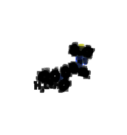 CC1(C)C2=C(C=CC(n3c4ccccc4c4cc(-c5ccc6c(c5)c5ccccc5n6-c5nc6c7c(cccc7n5)Sc5ccccc5-6)ccc43)C2)c2ccccc21